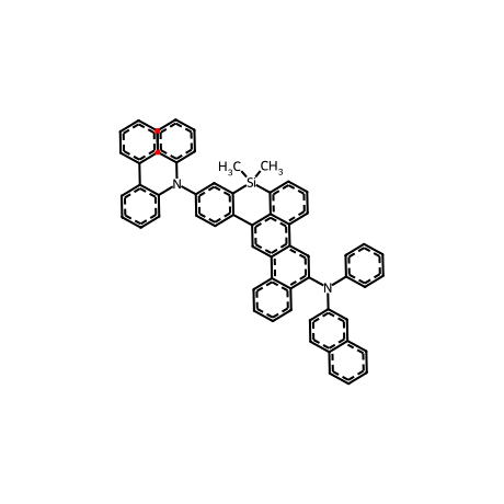 C[Si]1(C)c2cc(N(c3ccccc3)c3ccccc3-c3ccccc3)ccc2-c2cc3c4ccccc4c(N(c4ccccc4)c4ccc5ccccc5c4)cc3c3cccc1c23